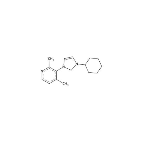 Cc1ccnc(C)c1N1C=CN(C2CCCCC2)C1